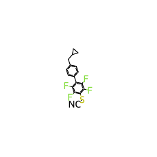 N#CSc1c(F)c(F)c(-c2ccc(CC3CC3)cc2)c(F)c1F